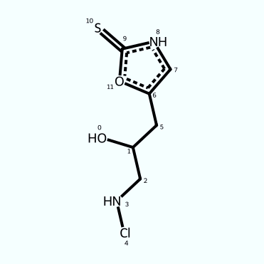 OC(CNCl)Cc1c[nH]c(=S)o1